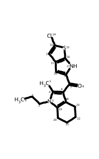 CCCn1c(C)c(C(=O)c2cc3cc(Cl)sc3[nH]2)c2c1CCCC2